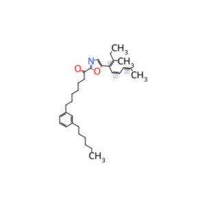 C\C=C/C=C\C(=C(/C)CC)c1cnc(C(=O)CCCCCCc2cccc(CCCCCC)c2)o1